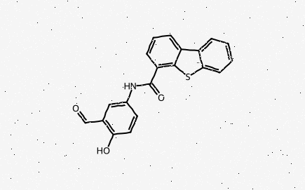 O=Cc1cc(NC(=O)c2cccc3c2sc2ccccc23)ccc1O